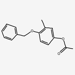 CC(=O)Oc1ccc(OCc2ccccc2)c(C)c1